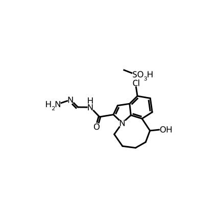 CS(=O)(=O)O.NN=CNC(=O)c1cc2c(Cl)ccc3c2n1CCCCC3O